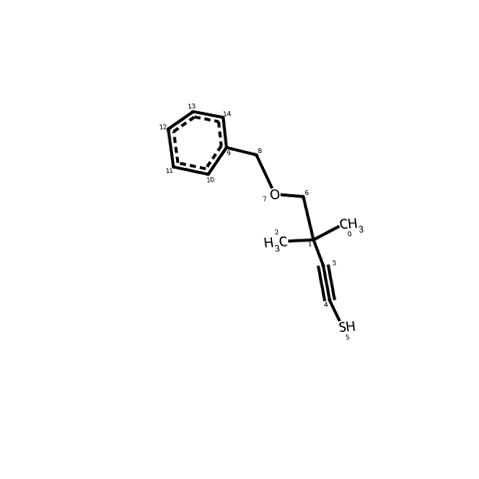 CC(C)(C#CS)COCc1ccccc1